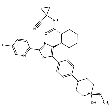 CN=[SH]1(O)CCN(c2ccc(-c3sc(-c4ccc(F)cn4)nc3[C@@H]3CCCC[C@H]3C(=O)NC3(C#N)CC3)cc2)CC1